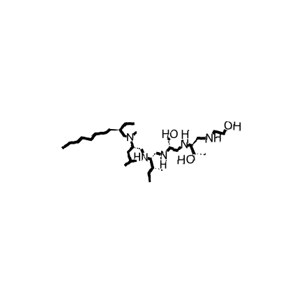 CCCCCCCC[C@@H](CC)CN(C)[C@H](CN[C@H](CN[C@H](CO)CN[C@@H](CNCCO)[C@H](C)O)[C@H](C)CC)CC(C)C